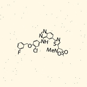 CNC(CS(C)(=O)=O)c1cnc(-c2ccc3ncnc(Nc4ccc(OCc5cccc(F)c5)c(Cl)c4)c3c2)s1